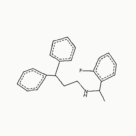 CC(NCCC(c1ccccc1)c1ccccc1)c1ccccc1F